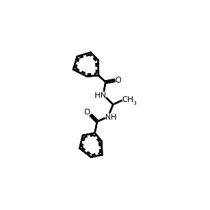 CC(NC(=O)c1ccccc1)NC(=O)c1ccccc1